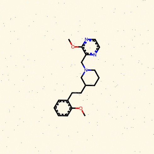 COc1ccccc1CCC1CCCN(Cc2nccnc2OC)C1